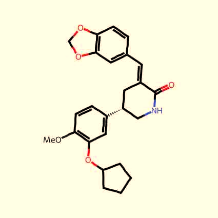 COc1ccc([C@H]2CNC(=O)C(=Cc3ccc4c(c3)OCO4)C2)cc1OC1CCCC1